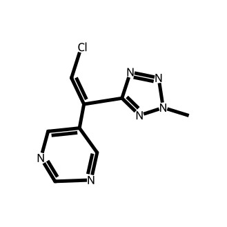 Cn1nnc(C(=CCl)c2cncnc2)n1